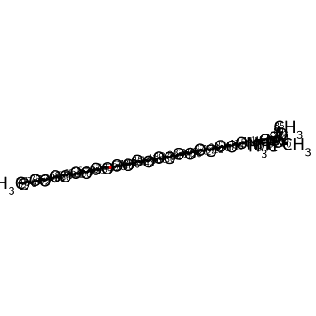 CCO[Si](CCCOCC(O)CNCCOCCOCCOCCOCCOCCOCCOCCOCCOCCOCCOCCOCCOCCOCCOCCOCCOCCOCCOCCOCCOCCOC)(OCC)OCC